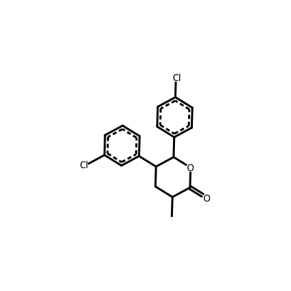 CC1CC(c2cccc(Cl)c2)C(c2ccc(Cl)cc2)OC1=O